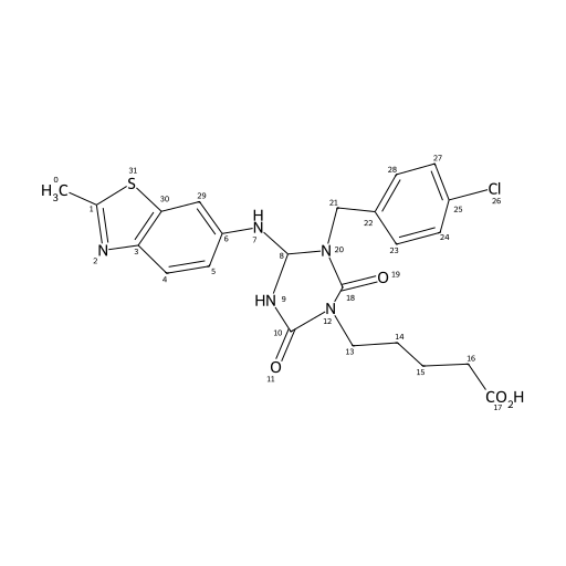 Cc1nc2ccc(NC3NC(=O)N(CCCCC(=O)O)C(=O)N3Cc3ccc(Cl)cc3)cc2s1